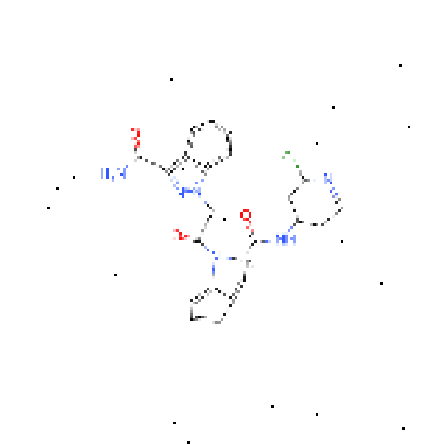 NC(=O)c1nn(CC(=O)N2C3=CC=CC3=C[C@H]2C(=O)NC2CC=NC(Cl)C2)c2ccccc12